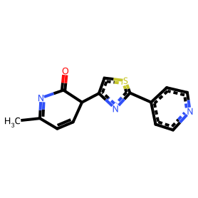 CC1=NC(=O)C(c2csc(-c3ccncc3)n2)C=C1